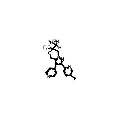 [2H]C([2H])([2H])C1(C(F)(F)F)Cn2nc(-c3ccc(F)cn3)c(-c3ccncc3)c2CO1